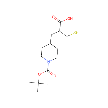 CC(C)(C)OC(=O)N1CCC(CC(CS)C(=O)O)CC1